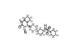 Cn1c(=O)c(C#N)c(N2CCC(c3cccc(NS(=O)(=O)c4ccccc4)c3)CC2)c2ccccc21